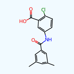 Cc1cc(C)cc(C(=O)Nc2ccc(Cl)c(C(=O)O)c2)c1